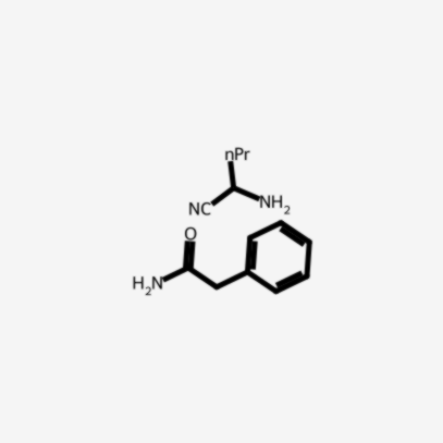 CCCC(N)C#N.NC(=O)Cc1ccccc1